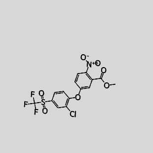 COC(=O)c1cc(Oc2ccc(S(=O)(=O)C(F)(F)F)cc2Cl)ccc1[N+](=O)[O-]